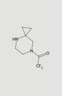 O=C(N1CCNC2(CC2)C1)C(F)(F)F